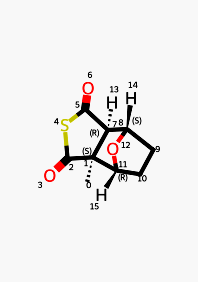 C[C@]12C(=O)SC(=O)[C@H]1[C@@H]1CC[C@H]2O1